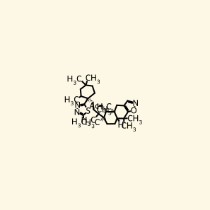 CC(=O)C[C@@H]1[C@@]2(C)Cc3cnoc3C(C)(C)[C@@H]2CC[C@@]1(C)C(C)(C)CC[C@@]1(c2nnc(C)s2)CCC(C)(C)CC1C